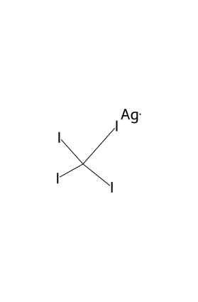 IC(I)(I)I.[Ag]